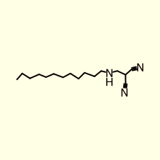 CCCCCCCCCCCCNCC(C#N)C#N